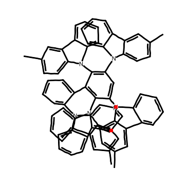 Cc1ccc2c(c1)c1ccccc1n2-c1cc(-n2c3ccccc3c3cc(C)ccc32)c(-n2c3ccccc3c3cc(C)ccc32)c(-c2ccccc2-n2c3ccccc3c3ccncc32)c1-n1c2ccccc2c2cc(C)ccc21